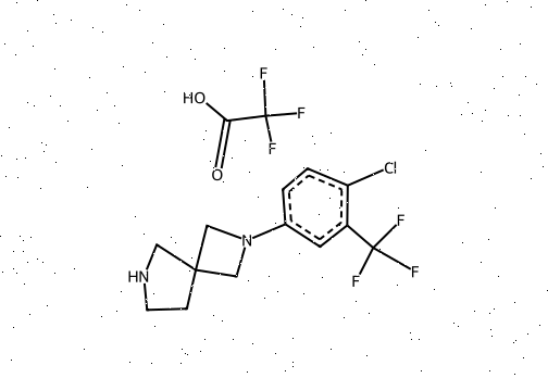 FC(F)(F)c1cc(N2CC3(CCNC3)C2)ccc1Cl.O=C(O)C(F)(F)F